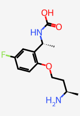 C[C@@H](N)CCOc1ccc(F)cc1[C@@H](C)NC(=O)O